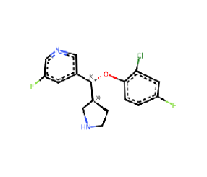 Fc1cncc([C@H](Oc2ccc(F)cc2Cl)[C@H]2CCNC2)c1